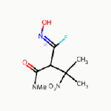 CNC(=O)C(/C(F)=N/O)C(C)(C)[N+](=O)[O-]